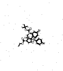 CCOC(=O)[C@@H]1CC[C@@]2(S(=O)(=O)c3ccc(F)cc3)c3ccc(Br)cc3N(C(=O)OC(C)(C)C)C[C@@H]12